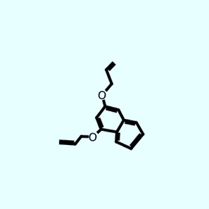 C=CCOc1cc(OCC=C)c2ccccc2c1